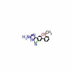 C[S+]([O-])c1ccccc1-c1ccc(-c2ncc(N)nc2C#N)c(F)c1